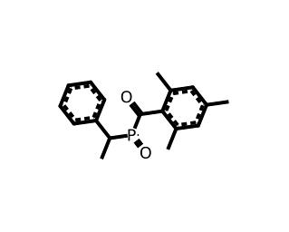 Cc1cc(C)c(C(=O)[P](=O)C(C)c2ccccc2)c(C)c1